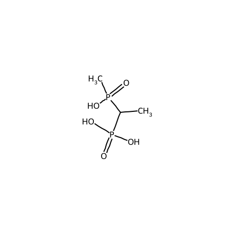 CC(P(C)(=O)O)P(=O)(O)O